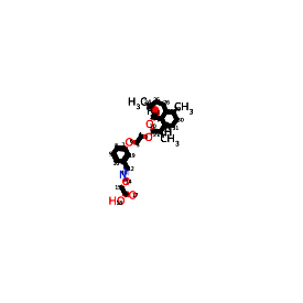 C[C@H]1[C@@H](OCCOc2cccc(/C=N/OCC(=O)O)c2)O[C@@H]2O[C@@]3(C)CCC4[C@H](C)CC[C@@H]1[C@]42OO3